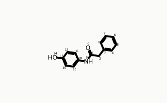 O=C(Cc1ccccc1)Nc1ccc(O)cc1